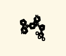 O=C1C=C(c2cccc(-n3c4ccncc4c4cc(-n5c6ccccc6c6cnccc65)ccc43)c2)C(=O)O1